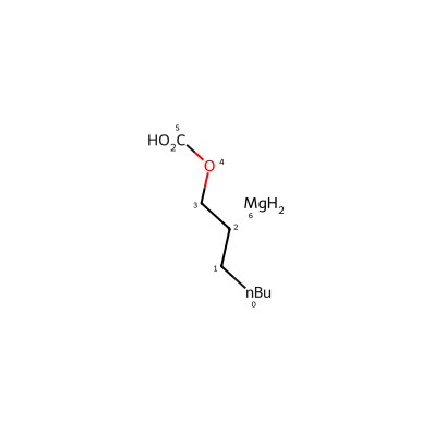 CCCCCCCOC(=O)O.[MgH2]